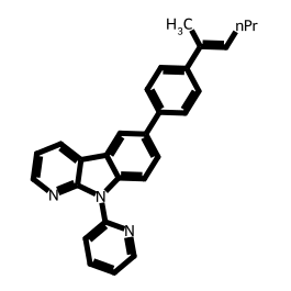 CCC/C=C(\C)c1ccc(-c2ccc3c(c2)c2cccnc2n3-c2ccccn2)cc1